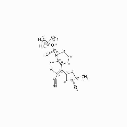 CN1CC(c2c(C#N)ccc3c2CCCN3C(=O)OC(C)(C)C)CC1=O